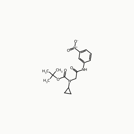 CC(C)(C)OC(=O)N(CC(=O)Nc1cccc([N+](=O)[O-])c1)C1CC1